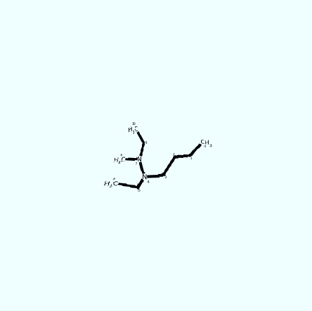 CCCCN(CC)N(C)CC